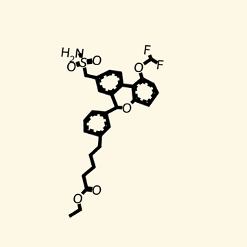 CCOC(=O)CCCCc1cccc(C2Oc3cccc(OC(F)F)c3-c3ccc(CS(N)(=O)=O)cc32)c1